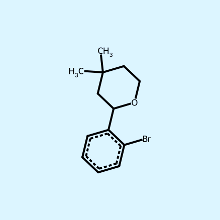 CC1(C)CCOC(c2ccccc2Br)C1